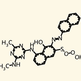 CNc1nc(C)nc(Nc2cccc3cc(SOOO)c(/N=N/c4ccc5ccccc5c4)c(O)c23)n1